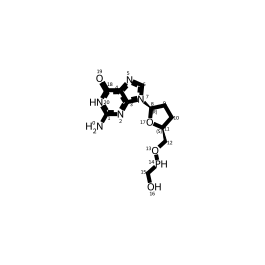 Nc1nc2c(ncn2[C@H]2CC[C@@H](COPCO)O2)c(=O)[nH]1